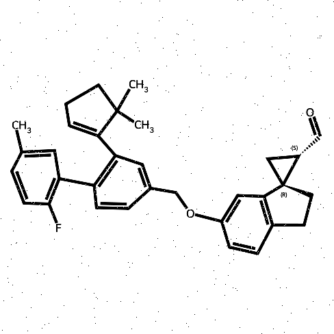 Cc1ccc(F)c(-c2ccc(COc3ccc4c(c3)[C@]3(CC4)C[C@@H]3C=O)cc2C2=CCCC2(C)C)c1